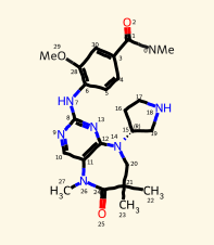 CNC(=O)c1ccc(Nc2ncc3c(n2)N([C@@H]2CCNC2)CC(C)(C)C(=O)N3C)c(OC)c1